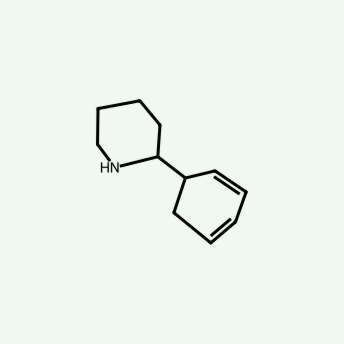 C1=CCC(C2CCCCN2)C=C1